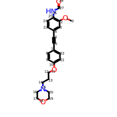 COc1cc(C#Cc2ccc(OCCCN3CCOCC3)cc2)ccc1NC=O